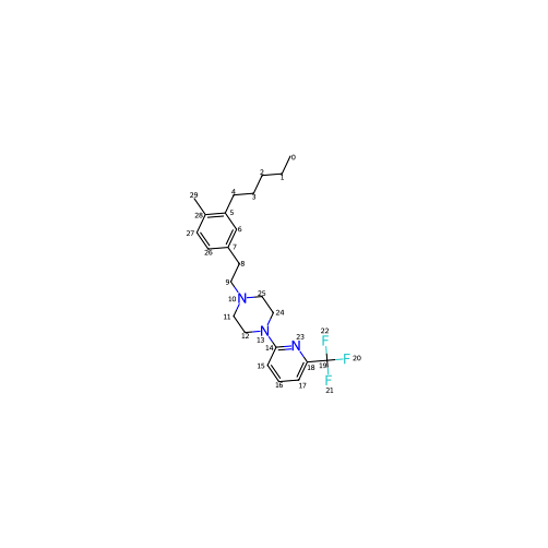 CCCCCc1cc(CCN2CCN(c3cccc(C(F)(F)F)n3)CC2)ccc1C